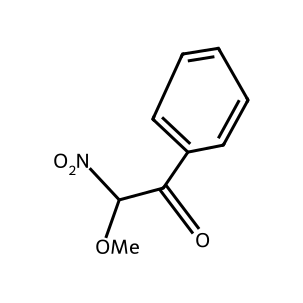 COC(C(=O)c1ccccc1)[N+](=O)[O-]